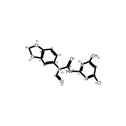 Cc1cc(Cl)nc(NC(=O)N(C=O)c2ccc3c(c2)OCO3)n1